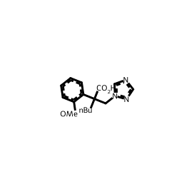 CCCCC(Cn1cncn1)(C(=O)O)c1ccccc1OC